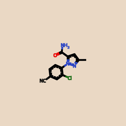 Cc1cc(C(N)=O)n(-c2ccc(C#N)cc2Cl)n1